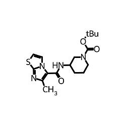 Cc1nc2sccn2c1C(=O)NC1CCCN(C(=O)OC(C)(C)C)C1